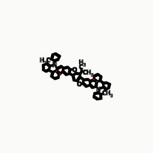 Cc1ccccc1N(c1ccc2cc3c(cc2c1)oc1c(C(C)C)c2c(cc13)oc1cc3cc(N(c4ccccc4C)c4ccccc4-c4ccccc4)ccc3cc12)c1ccccc1-c1ccccc1